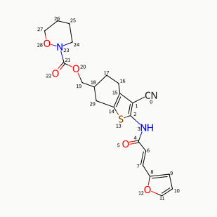 N#Cc1c(NC(=O)C=Cc2ccco2)sc2c1CCC(COC(=O)N1CCCCO1)C2